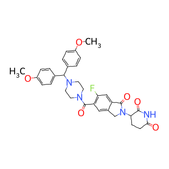 COc1ccc(C(c2ccc(OC)cc2)N2CCN(C(=O)c3cc4c(cc3F)C(=O)N(C3CCC(=O)NC3=O)C4)CC2)cc1